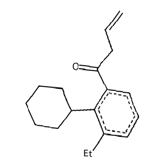 C=CCC(=O)c1cccc(CC)c1C1CCCCC1